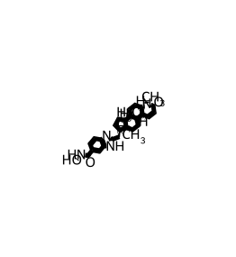 CN1C(=O)C=C[C@]2(C)[C@H]3CC[C@]4(C)[C@@H](Cc5nc6ccc(C(=O)NO)cc6[nH]5)CC[C@H]4[C@@H]3CC[C@@H]12